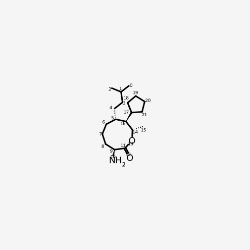 CC(C)CC[C@H]1CCC[C@H](N)C(=O)O[C@@H](C)[C@@H]1C1CCCC1